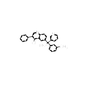 Cc1cccc(C(O)(c2cccnc2)c2ccc3ncc(-c4ccccc4)c(Cl)c3c2)c1